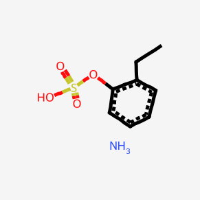 CCc1ccccc1OS(=O)(=O)O.N